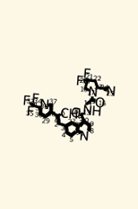 CC(=Cc1ccc2nccc(C(=O)NCC(=O)N3CC(F)(F)CC3C#N)c2c1)c1ccc(C(F)(F)F)nc1